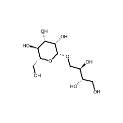 OC[C@H](O)[C@H](O)CO[C@@H]1O[C@H](CO)[C@@H](O)[C@H](O)[C@@H]1O